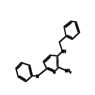 Nc1nc(Oc2ccccc2)ccc1NCc1ccccc1